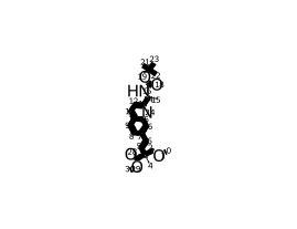 COC[C@](C)(/C=C/c1ccc2ccc([C@@H](C)NC(=O)OC(C)(C)C)nc2c1)C(=O)OC